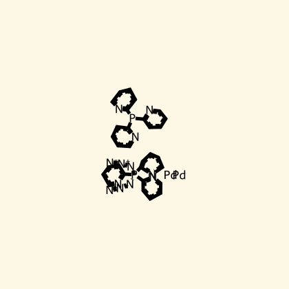 [N-]=[N+]=NP(N=[N+]=[N-])(c1ccccn1)(c1ccccn1)c1ccccn1.[Pd].[Pd].c1ccc(P(c2ccccn2)c2ccccn2)nc1